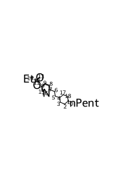 CCCCCC1CCC(CCc2ccc(OC(=O)CC)cn2)CC1